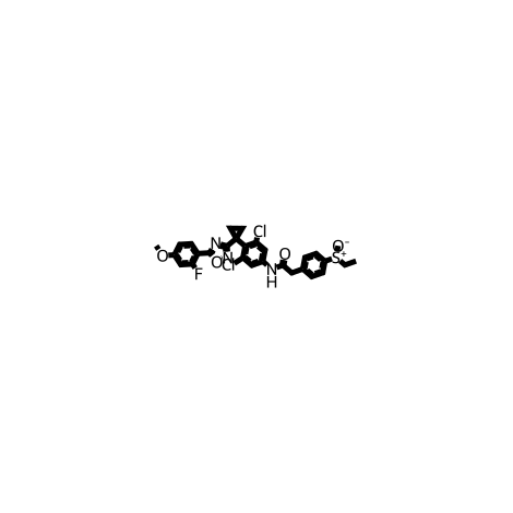 CC[S+]([O-])c1ccc(CC(=O)Nc2cc(Cl)c(C3(c4noc(-c5ccc(OC)cc5F)n4)CC3)c(Cl)c2)cc1